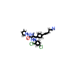 Cc1c(C(=O)NN2CCCCC2)nn(-c2ccc(Cl)cc2Cl)c1-c1ccc(C#CCCC#N)cc1